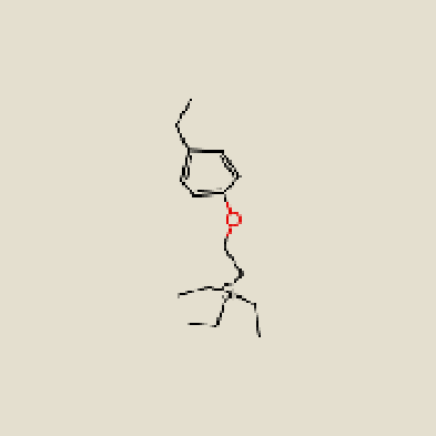 CCc1ccc(OCC[Si](CC)(CC)CC)cc1